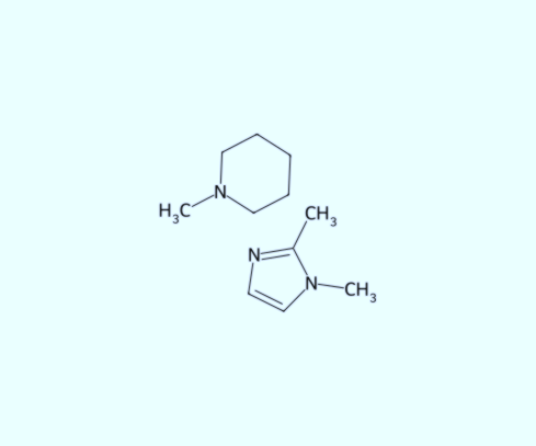 CN1CCCCC1.Cc1nccn1C